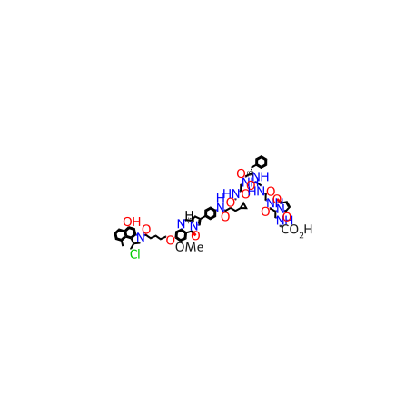 COc1cc2c(cc1OCCCCC(=O)N1CC(CCl)c3c1cc(O)c1cccc(C)c31)N=C[C@@H]1CC(c3ccc(NC(=O)C(CC4CC4)OCNC(=O)CNC(=O)[C@H](Cc4ccccc4)NC(=O)CNC(=O)CNC(=O)C(CNCC(=O)O)N4C(=O)C=CC4=O)cc3)=CN1C2=O